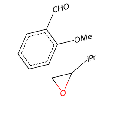 CC(C)C1CO1.COc1ccccc1C=O